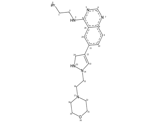 CC(C)CCNc1ncnc2ccc(C3=CN(CCN4CCOCC4)NC3)cc12